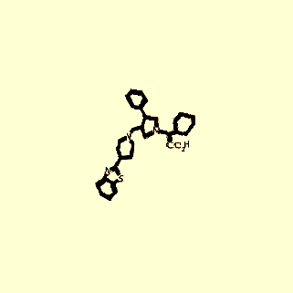 O=C(O)C(C1CCCCC1)N1CC(CN2CCC(c3nc4ccccc4s3)CC2)C(c2ccccc2)C1